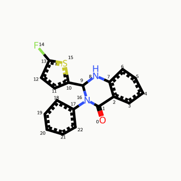 O=C1c2ccccc2NC(c2ccc(F)s2)N1c1ccccc1